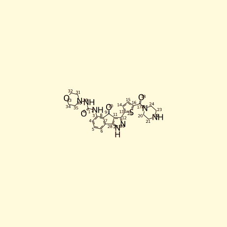 O=C(Nc1cccc2c1C(=O)c1c(-c3ccc(C(=O)N4CCNCC4)s3)n[nH]c1-2)NN1CCOCC1